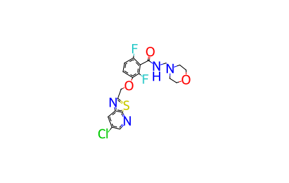 O=C(NCN1CCOCC1)c1c(F)ccc(OCc2nc3cc(Cl)cnc3s2)c1F